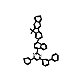 CC1(C)c2cc(-c3ccc(-c4nc(-c5ccccc5)cc(-c5cccc(-c6ccccc6)c5)n4)c4ccccc34)ccc2-c2cc3ccccc3cc21